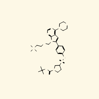 CC(C)(C)OC(=O)N1CCC(S(=O)(=O)Nc2ccc(-c3cc4c(N5CCOCC5)ncnc4n3COCC[Si](C)(C)C)cc2)C1